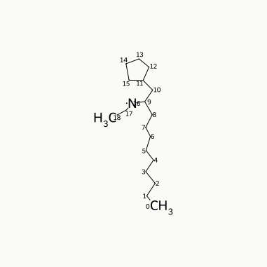 CCCCCCCCCC(CC1CCCC1)[N]CC